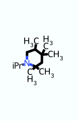 CC(C)N1CC(C)C(C)(C)CC1(C)C